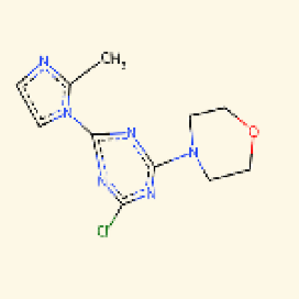 Cc1nccn1-c1nc(Cl)nc(N2CCOCC2)n1